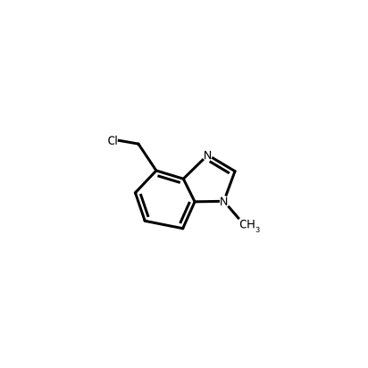 Cn1cnc2c(CCl)cccc21